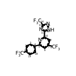 FC(F)(F)c1ccc(-c2cc(C(F)(F)F)cc(-c3nc(C(F)(F)F)n[nH]3)n2)cc1